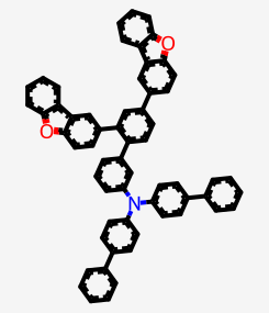 c1ccc(-c2ccc(N(c3ccc(-c4ccccc4)cc3)c3cccc(-c4ccc(-c5ccc6oc7ccccc7c6c5)cc4-c4ccc5oc6ccccc6c5c4)c3)cc2)cc1